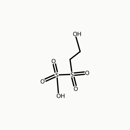 O=S(=O)(O)S(=O)(=O)CCO